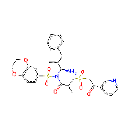 CC(CS(=O)(=O)CC(=O)c1cccnc1)C(=O)N([C@H](N)[C@@H](C)Cc1ccccc1)S(=O)(=O)c1ccc2c(c1)OCCO2